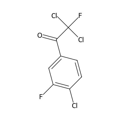 O=C(c1ccc(Cl)c(F)c1)C(F)(Cl)Cl